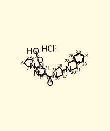 Cl.O=C(O)[C@H]1CCCN1c1ncc(C(=O)N2CCC(N3CCc4ccccc4C3)CC2)cn1